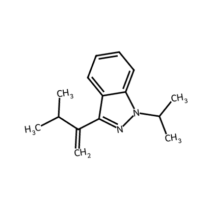 C=C(c1nn(C(C)C)c2ccccc12)C(C)C